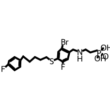 O=P(O)(O)CCCNCc1cc(F)c(SCCCCCc2ccc(F)cc2)cc1Br